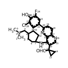 CN(C)CC1CCC(Nc2c(C3(C=O)CC3)cnc3ccc(-c4cc(F)c(O)c(Cl)c4)nc23)CC1